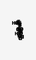 C[C@H]1C(=O)N2C(CN1C(=O)Nc1ccc(Cl)c(Cl)c1)OC[C@@H]2CCCN1CCC2(CC2)[C@H](O)C1